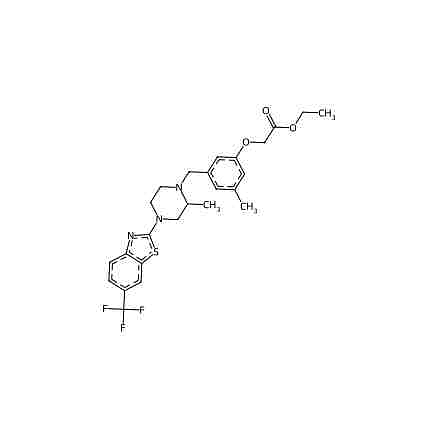 CCOC(=O)COc1cc(C)cc(CN2CCN(c3nc4ccc(C(F)(F)F)cc4s3)CC2C)c1